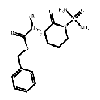 CCCCN(C(=O)OCc1ccccc1)[C@H]1CCCN(P(N)(N)=O)C1=O